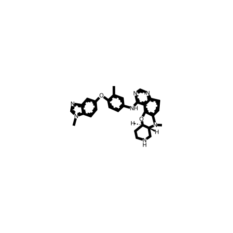 Cc1cc(Nc2ncnc3ccc4c(c23)O[C@@H]2CCNC[C@H]2N4C)ccc1Oc1ccc2c(c1)ncn2C